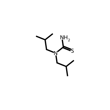 CC(C)CN(CC(C)C)C(N)=S